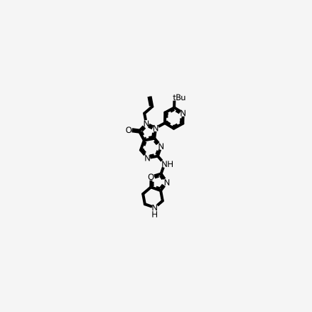 C=CCn1c(=O)c2cnc(Nc3nc4c(o3)CCNC4)nc2n1-c1ccnc(C(C)(C)C)c1